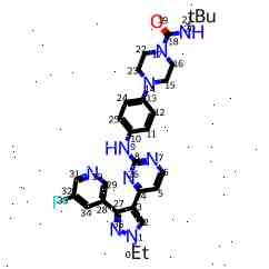 CCn1cc(-c2ccnc(Nc3ccc(N4CCN(C(=O)NC(C)(C)C)CC4)cc3)n2)c(-c2cncc(F)c2)n1